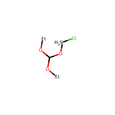 CCOC(OCC)O[SiH2]Cl